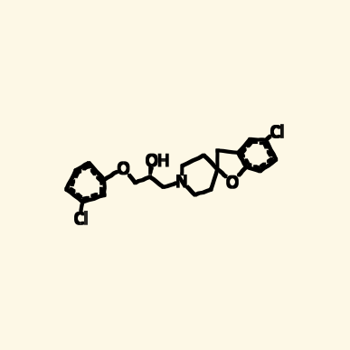 O[C@H](COc1cccc(Cl)c1)CN1CCC2(CC1)Cc1cc(Cl)ccc1O2